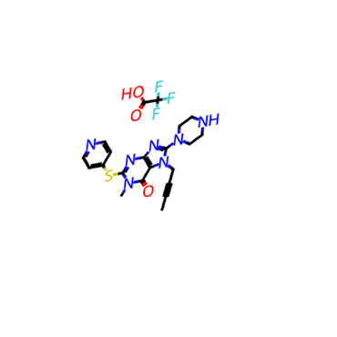 CC#CCn1c(N2CCNCC2)nc2nc(Sc3ccncc3)n(C)c(=O)c21.O=C(O)C(F)(F)F